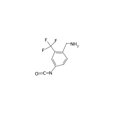 NCc1ccc(N=C=O)cc1C(F)(F)F